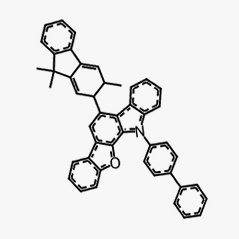 CC1C=C2C(=CC1c1cc3c4ccccc4oc3c3c1c1ccccc1n3-c1ccc(-c3ccccc3)cc1)C(C)(C)c1ccccc12